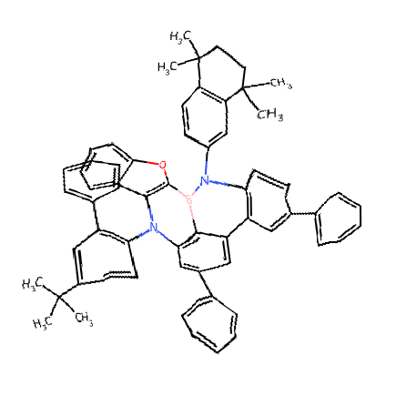 CC(C)(C)c1ccc(N2c3cc(-c4ccccc4)cc4c3B(c3oc5ccccc5c32)N(c2ccc3c(c2)C(C)(C)CCC3(C)C)c2ccc(-c3ccccc3)cc2-4)c(-c2ccccc2)c1